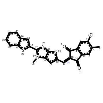 Cc1cc2c(cc1Cl)C(=O)/C(=C\c1cc3c(nc(-c4cc5ccccc5s4)n3C)s1)C2=O